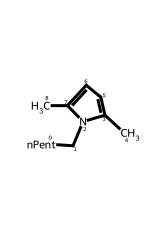 CCCCCCn1c(C)ccc1C